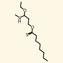 CCCCCCCC(=S)OCCC(OCC)[SiH](C)C